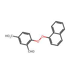 O=Cc1cc(C(=O)O)ccc1OOc1cccc2ccccc12